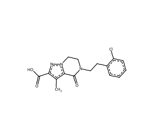 Cc1c(C(=O)O)nn2c1C(=O)N(CCc1ccccc1Cl)CC2